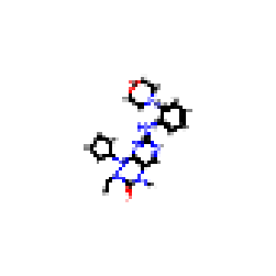 CCN1C(=O)N(C)c2cnc(Nc3ccccc3N3CCOCC3)nc2N1C1CCCC1